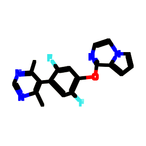 Cc1ncnc(C)c1-c1cc(F)c(Oc2nccn3cccc23)cc1F